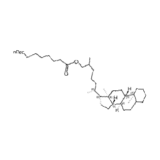 CCCCCCCCCCCCCCCCC(=O)OCC(C)CCC[C@@H](C)[C@H]1CC[C@H]2[C@@H]3CCC4CCCC[C@]4(C)[C@H]3CC[C@]12C